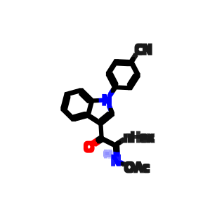 CCCCCC/C(=N\OC(C)=O)C(=O)c1cn(-c2ccc(C#N)cc2)c2ccccc12